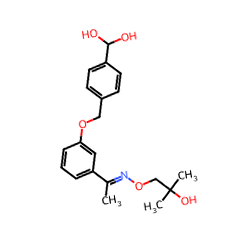 CC(=NOCC(C)(C)O)c1cccc(OCc2ccc(C(O)O)cc2)c1